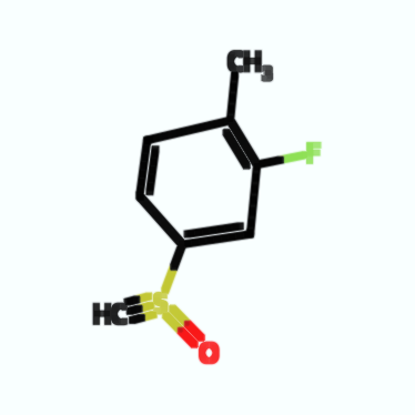 C#S(=O)c1ccc(C)c(F)c1